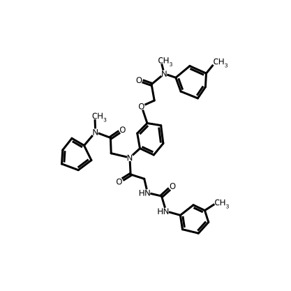 Cc1cccc(NC(=O)NCC(=O)N(CC(=O)N(C)c2ccccc2)c2cccc(OCC(=O)N(C)c3cccc(C)c3)c2)c1